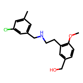 COc1ccc(CO)cc1CCNCc1cc(C)cc(Cl)c1